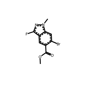 COC(=O)c1cc2c(F)nn(C)c2cc1Br